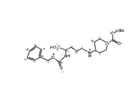 CC(C)(C)OC(=O)N1CCC(NCCCC(NC(=O)OCc2ccccc2)C(=O)O)CC1